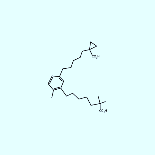 Cc1ccc(CCCCCC2(C(=O)O)CC2)cc1CCCCCC(C)(C)C(=O)O